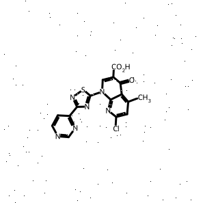 Cc1cc(Cl)nc2c1c(=O)c(C(=O)O)cn2-c1nc(-c2ccncn2)ns1